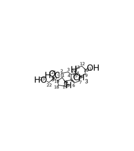 C[C@]12CC[C@@H]3C(=CC=C4CC(O)CC[C@]43C)[C@@H]1CC[C@@H]2C(=O)CO